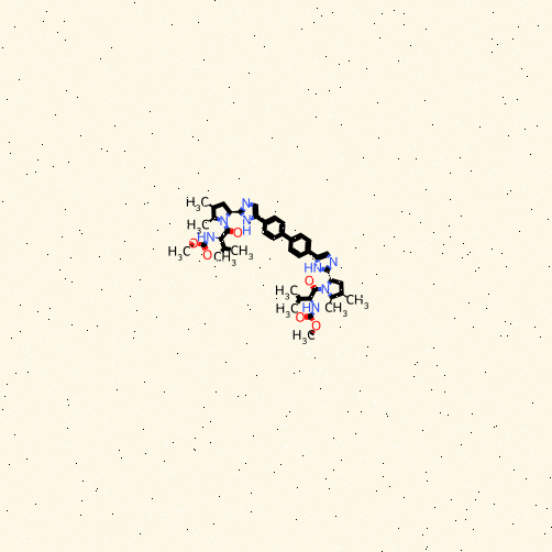 COC(=O)N[C@H](C(=O)N1[C@H](c2ncc(-c3ccc(-c4ccc(-c5cnc([C@@H]6C[C@H](C)[C@H](C)N6C(=O)[C@@H](NC(=O)OC)C(C)C)[nH]5)cc4)cc3)[nH]2)C[C@H](C)[C@@H]1C)C(C)C